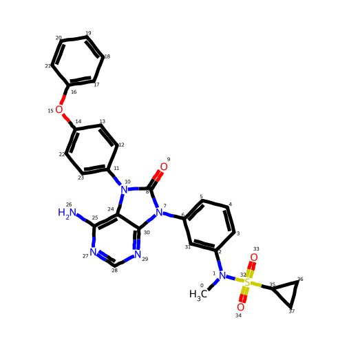 CN(c1cccc(-n2c(=O)n(-c3ccc(Oc4ccccc4)cc3)c3c(N)ncnc32)c1)S(=O)(=O)C1CC1